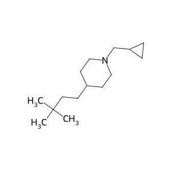 CC(C)(C)CCC1CCN(CC2CC2)CC1